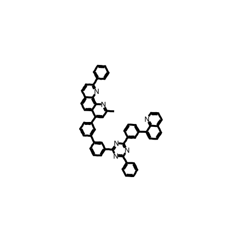 Cc1cc(-c2cccc(-c3cccc(-c4nc(-c5ccccc5)nc(-c5cccc(-c6cccc7cccnc67)c5)n4)c3)c2)c2ccc3ccc(-c4ccccc4)nc3c2n1